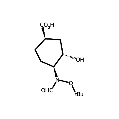 CC(C)(C)ON(C=O)[C@H]1CC[C@@H](C(=O)O)C[C@@H]1O